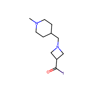 CN1CCC(CN2CC(C(=O)I)C2)CC1